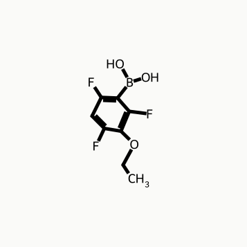 CCOc1c(F)cc(F)c(B(O)O)c1F